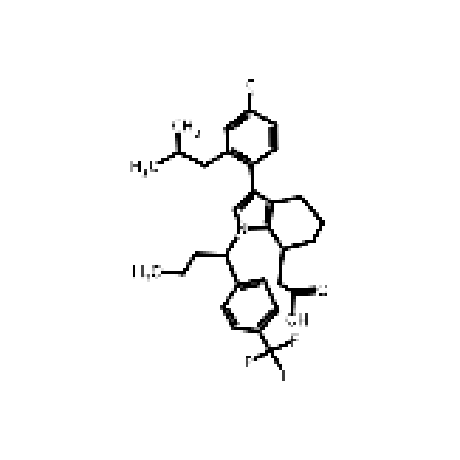 CCCC(c1ccc(C(F)(F)F)cc1)n1cc(-c2ccc(Cl)cc2CC(C)C)c2c1C(CC(=O)O)CCC2